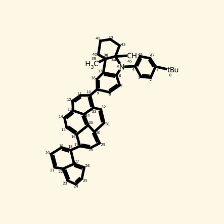 CC(C)(C)c1ccc(N2c3ccc(-c4ccc5ccc6c(-c7cccc8ccccc78)ccc7ccc4c5c76)cc3C3(C)CCCCC23C)cc1